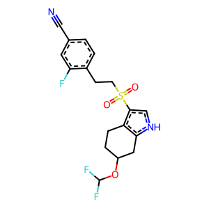 N#Cc1ccc(CCS(=O)(=O)c2c[nH]c3c2CCC(OC(F)F)C3)c(F)c1